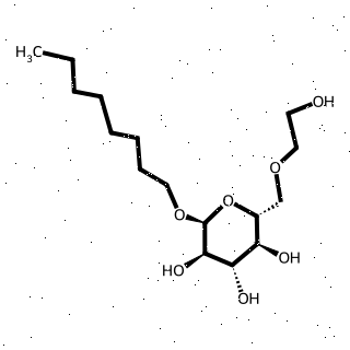 CCCCCCCCO[C@H]1O[C@H](COCCO)[C@@H](O)[C@H](O)[C@H]1O